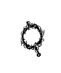 CC(C)[C@H]1C(=O)NC[C@@H](NC(=O)OC(C)(C)C)C(=O)N2CCCC[C@H]2C(=O)NCC(=O)N(C)CC(=O)N(C)C2(CC2)C(=O)NC[C@@H](NC(=O)OCc2ccccc2)C(=O)N2CCCC[C@H]2C(=O)NCC(=O)N(C)CC(=O)N1C